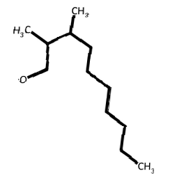 CCCCCCCC(C)C(C)C[O]